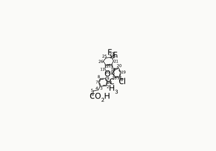 Cc1cc(CCC(=O)O)ccc1OCC1=C(c2ccc(Cl)cc2)CC(F)(F)CC1